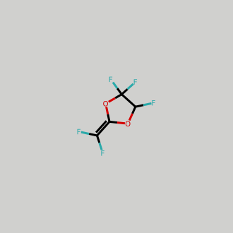 FC(F)=C1OC(F)C(F)(F)O1